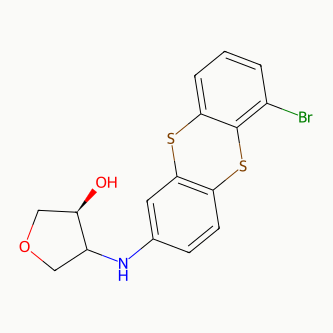 O[C@@H]1COCC1Nc1ccc2c(c1)Sc1cccc(Br)c1S2